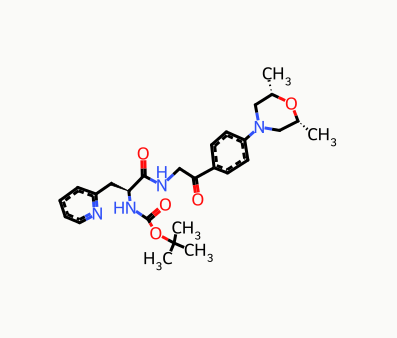 C[C@@H]1CN(c2ccc(C(=O)CNC(=O)[C@H](Cc3ccccn3)NC(=O)OC(C)(C)C)cc2)C[C@H](C)O1